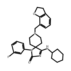 O=C1N=C(NC2CCCCC2)C2(CCN(Cc3cccc4c3OCC4)CC2)N1c1cccc(F)c1